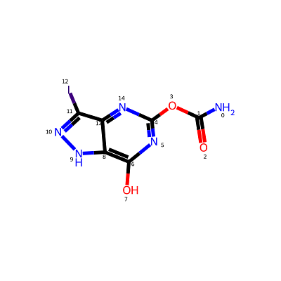 NC(=O)Oc1nc(O)c2[nH]nc(I)c2n1